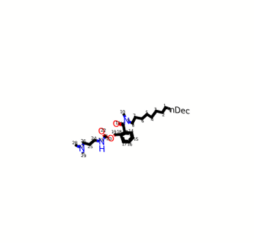 CCCCCCCCCCCCCCCCCCN(C)C(=O)c1ccccc1COC(=O)NCCCN(C)C